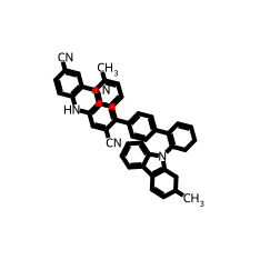 Cc1ccccc1-c1cc(C#N)ccc1Nc1cc(C#N)c(-c2ccc(C3=C(n4c5c(c6ccccc64)C=CC(C)C5)CCC=C3)cc2)cc1C#N